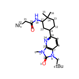 Cn1c(=O)n(CC(C)(C)C)c2ccc(C3CCC(C)(C)C(NC(=O)CC#N)C3)nc21